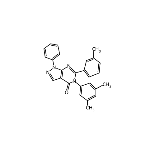 Cc1cccc(-c2nc3c(cnn3-c3ccccc3)c(=O)n2-c2cc(C)cc(C)c2)c1